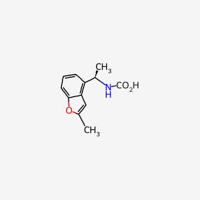 Cc1cc2c([C@@H](C)NC(=O)O)cccc2o1